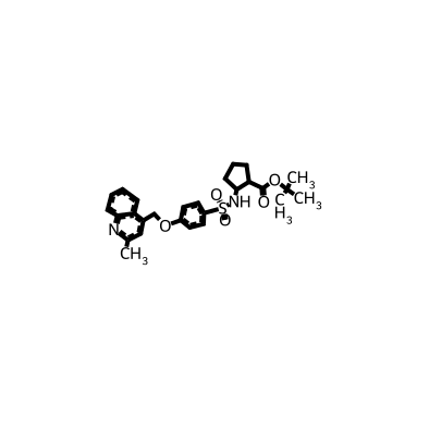 Cc1cc(COc2ccc(S(=O)(=O)NC3CCCC3C(=O)OC(C)(C)C)cc2)c2ccccc2n1